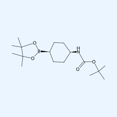 CC(C)(C)OC(=O)N[C@H]1CC[C@@H](B2OC(C)(C)C(C)(C)O2)CC1